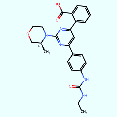 CCNC(=O)Nc1ccc(-c2cc(-c3ccccc3C(=O)O)nc(N3CCOC[C@@H]3C)n2)cc1